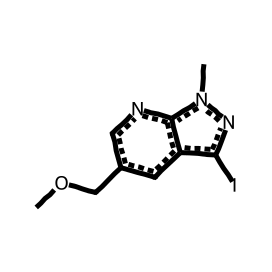 COCc1cnc2c(c1)c(I)nn2C